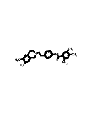 Cc1cc(N)c(C(=O)Nc2ccc(CCN3CCc4cc(C)c(C)cc4C3)cc2)cc1C